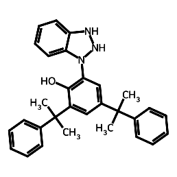 CC(C)(c1ccccc1)c1cc(N2NNc3ccccc32)c(O)c(C(C)(C)c2ccccc2)c1